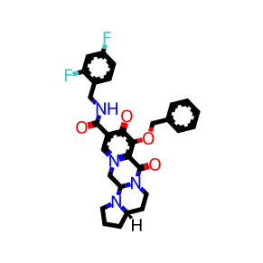 O=C(NCc1ccc(F)cc1F)c1cn2c(c(OCc3ccccc3)c1=O)C(=O)N1CC[C@@H]3CCCN3C1C2